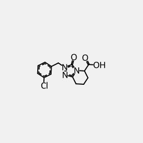 O=C(O)C1CCCc2nn(Cc3cccc(Cl)c3)c(=O)n21